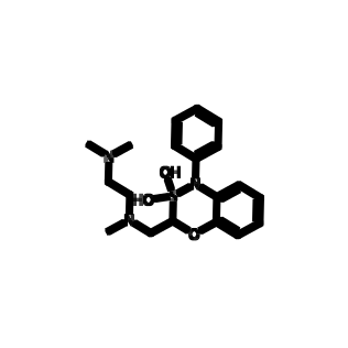 CN(C)CCN(C)CC1Oc2ccccc2N(c2ccccc2)S1(O)O